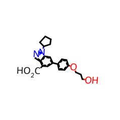 O=C(O)c1cc(-c2ccc(OCCCO)cc2)cc2c1cnn2C1CCCC1